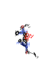 C=CCC1CN(c2nc(Nc3ccccc3)nc(Nc3ccc(C=Cc4ccc(Nc5nc(Nc6ccccc6)nc(N6CCOC(CC=C)C6)n5)cc4S(=O)(=O)O)c(S(=O)(=O)O)c3)n2)CCO1